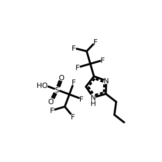 CCCc1nc(C(F)(F)C(F)F)c[nH]1.O=S(=O)(O)C(F)(F)C(F)F